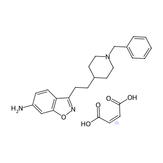 Nc1ccc2c(CCC3CCN(Cc4ccccc4)CC3)noc2c1.O=C(O)/C=C\C(=O)O